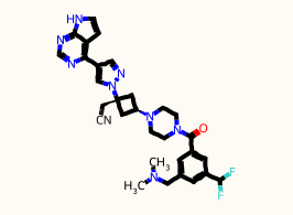 CN(C)Cc1cc(C(=O)N2CCN([C@H]3C[C@](CC#N)(n4cc(-c5ncnc6[nH]ccc56)cn4)C3)CC2)cc(C(F)F)c1